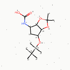 CC1(C)OC2C(NC(=O)O)CC(O[Si](C)(C)C(C)(C)C)C2O1